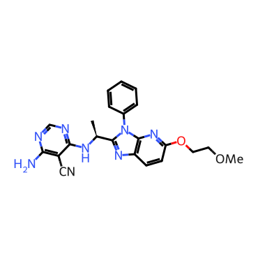 COCCOc1ccc2nc([C@H](C)Nc3ncnc(N)c3C#N)n(-c3ccccc3)c2n1